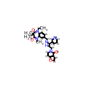 CCN1C(=O)C(C)(C)C(=O)N(C)c2cc(CNC(CCn3ccc4occc4c3=O)c3cccnc3)ccc21